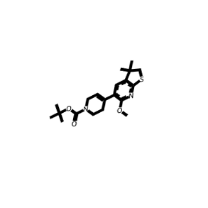 COc1nc2c(cc1C1=CCN(C(=O)OC(C)(C)C)CC1)C(C)(C)CS2